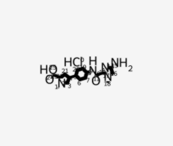 Cl.Cn1cc(-c2ccc(NC(=O)c3nc(N)cn3C)cc2)cc1C(=O)O